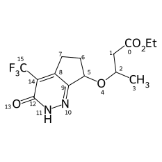 CCOC(=O)CC(C)OC1CCc2c1n[nH]c(=O)c2C(F)(F)F